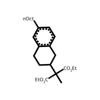 CCCCCCCCc1ccc2c(c1)CCC(C(C)(C(=O)OCC)C(=O)OCC)C2